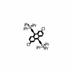 CC(C)[Si](C#Cc1c2ccc(Cl)cc2c(C#C[Si](C(C)C)(C(C)C)C(C)C)c2ccc(Cl)cc12)(C(C)C)C(C)C